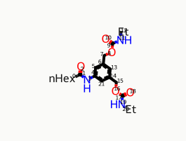 CCCCCCC(=O)Nc1cc(COC(=O)NCC)cc(COC(=O)NCC)c1